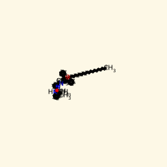 CCCCCCCCCCCCCCCCCCCCOc1c(-c2ccccc2)cc(/N=C(\C)c2cccc(/C(C)=N/c3ccccc3C(C)(C)C)n2)cc1-c1ccccc1